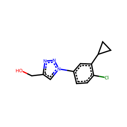 OCc1cn(-c2ccc(Cl)c(C3CC3)c2)nn1